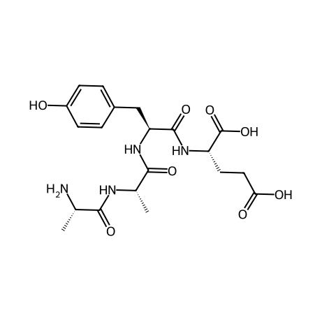 C[C@H](N)C(=O)N[C@@H](C)C(=O)N[C@@H](Cc1ccc(O)cc1)C(=O)N[C@@H](CCC(=O)O)C(=O)O